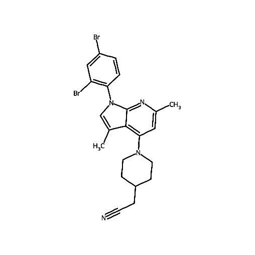 Cc1cc(N2CCC(CC#N)CC2)c2c(C)cn(-c3ccc(Br)cc3Br)c2n1